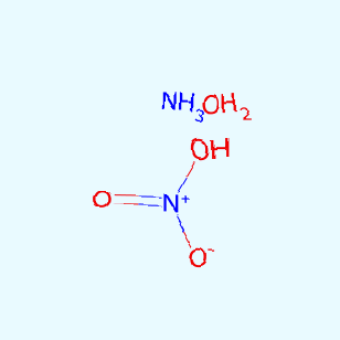 N.O.O=[N+]([O-])O